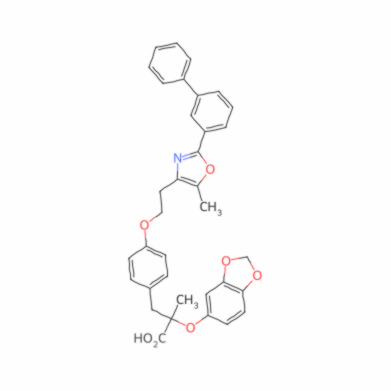 Cc1oc(-c2cccc(-c3ccccc3)c2)nc1CCOc1ccc(CC(C)(Oc2ccc3c(c2)OCO3)C(=O)O)cc1